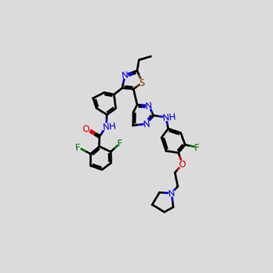 CCc1nc(-c2cccc(NC(=O)c3c(F)cccc3F)c2)c(-c2ccnc(Nc3ccc(OCCN4CCCC4)c(F)c3)n2)s1